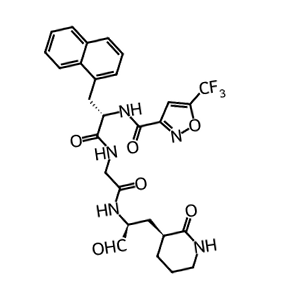 O=C[C@H](C[C@@H]1CCCNC1=O)NC(=O)CNC(=O)[C@H](Cc1cccc2ccccc12)NC(=O)c1cc(C(F)(F)F)on1